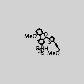 COCC#Cc1ccc(C2Oc3cccc(OC)c3-c3ccc(NS(C)(=O)=O)cc32)s1